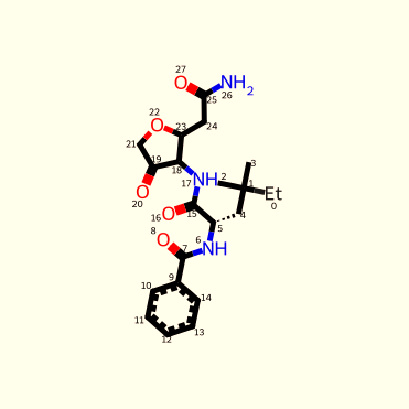 CCC(C)(C)C[C@H](NC(=O)c1ccccc1)C(=O)NC1C(=O)COC1CC(N)=O